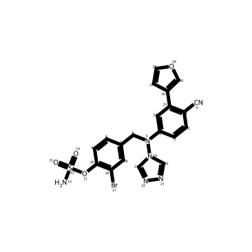 N#Cc1ccc(N(Cc2ccc(OS(N)(=O)=O)c(Br)c2)n2cnnc2)cc1-c1ccoc1